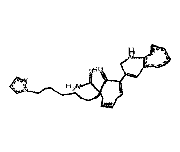 N=C(N)C1(CCCCCn2cccn2)C=CC=C(C2=Cc3ccccc3NC2)C1=O